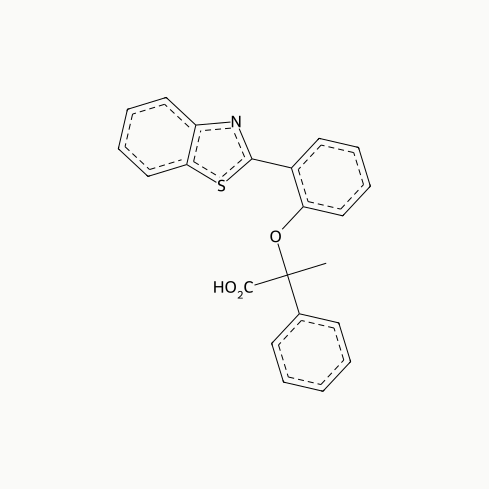 CC(Oc1ccccc1-c1nc2ccccc2s1)(C(=O)O)c1ccccc1